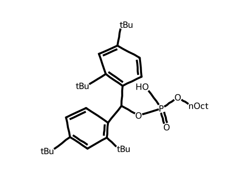 CCCCCCCCOP(=O)(O)OC(c1ccc(C(C)(C)C)cc1C(C)(C)C)c1ccc(C(C)(C)C)cc1C(C)(C)C